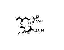 C=CC(=O)CCOP(=O)(O)O.C=CN(C=C(C)C(=O)O)C(C)=O